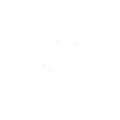 COc1cc2c(Cl)nnc(Cl)c2cn1